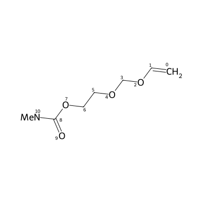 C=COCOCCOC(=O)NC